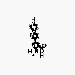 Nc1ncc(-c2ccc(N3CCNCC3)nc2)cc1C(=O)O